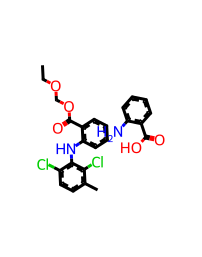 CCOCOC(=O)c1ccccc1Nc1c(Cl)ccc(C)c1Cl.Nc1ccccc1C(=O)O